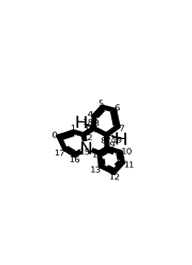 C1=CC2[C@H]3C=CC=C[C@H]3c3ccccc3N2C=C1